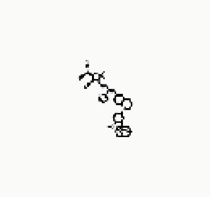 COc1ccc(N2CCCc3cc(/C=C(/C=C/C4=C(C#N)C(=C(C#N)C#N)OC4(C)C)c4cccs4)ccc32)cc1C12CC3CC(CC(C3)C1)C2